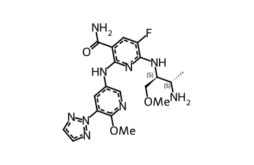 COC[C@@H](Nc1nc(Nc2cnc(OC)c(-n3nccn3)c2)c(C(N)=O)cc1F)[C@H](C)N